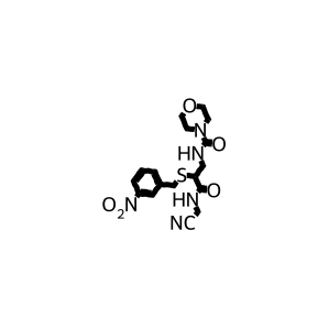 N#CCNC(=O)C(CNC(=O)N1CCOCC1)SCc1cccc([N+](=O)[O-])c1